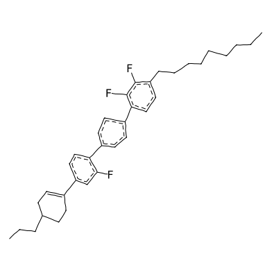 CCCCCCCCCc1ccc(-c2ccc(-c3ccc(C4=CCC(CCC)CC4)cc3F)cc2)c(F)c1F